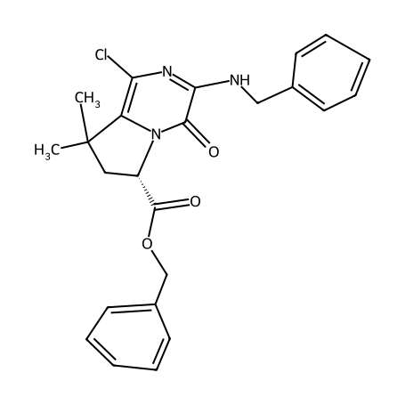 CC1(C)C[C@@H](C(=O)OCc2ccccc2)n2c1c(Cl)nc(NCc1ccccc1)c2=O